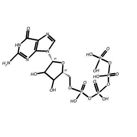 Nc1nc2c(ncn2[C@@H]2O[C@H](COP(=O)(O)OP(=O)(O)OP(=O)(O)OP(=O)(O)O)C(O)C2O)c(=O)[nH]1